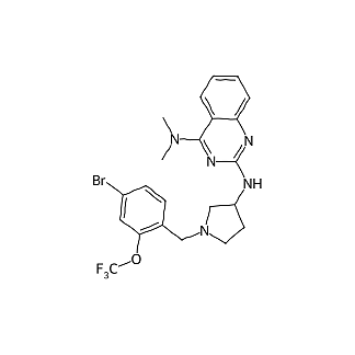 CN(C)c1nc(NC2CCN(Cc3ccc(Br)cc3OC(F)(F)F)C2)nc2ccccc12